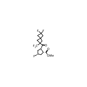 COC(=O)[C@@H]1C[C@@H](F)CN1C(=O)C1(C(F)(F)F)CC2(CC(F)(F)C2)C1